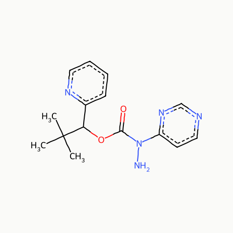 CC(C)(C)C(OC(=O)N(N)c1ccncn1)c1ccccn1